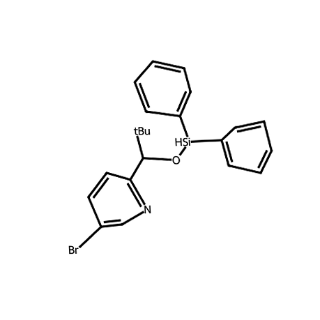 CC(C)(C)C(O[SiH](c1ccccc1)c1ccccc1)c1ccc(Br)cn1